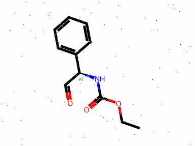 CCOC(=O)N[C@@H](C=O)c1ccccc1